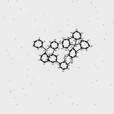 c1ccc(N(c2ccccc2)c2ccccc2-c2cccc(-c3cccc4c3Oc3cc5c(cc3O4)-c3ccccc3C53c4ccccc4-c4ccccc43)c2)cc1